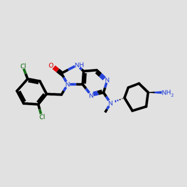 CN(c1ncc2[nH]c(=O)n(Cc3cc(Cl)ccc3Cl)c2n1)[C@H]1CC[C@H](N)CC1